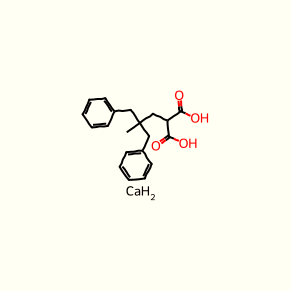 CC(Cc1ccccc1)(Cc1ccccc1)CC(C(=O)O)C(=O)O.[CaH2]